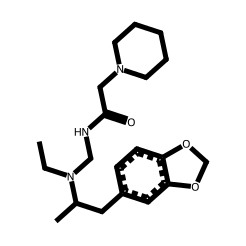 CCN(CNC(=O)CN1CCCCC1)C(C)Cc1ccc2c(c1)OCO2